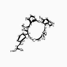 Cn1nc2nc1-c1cc(ccc1F)Oc1c(F)cc3[nH]ccc3c1CCS(=O)(=O)CCCCOC2c1cccc(CCC(=O)O)c1